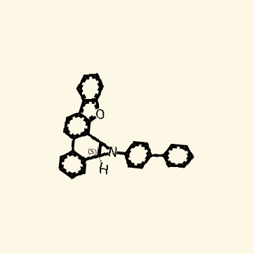 c1ccc(-c2ccc(N3C4c5c(ccc6c5oc5ccccc56)-c5ccccc5[C@@H]43)cc2)cc1